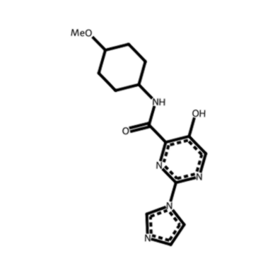 COC1CCC(NC(=O)c2nc(-n3ccnc3)ncc2O)CC1